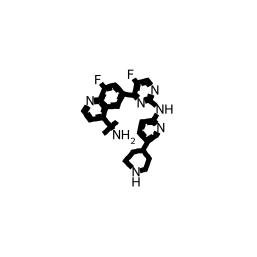 CC(C)(N)c1ccnc2c(F)cc(-c3nc(Nc4ccc(C5CCNCC5)cn4)ncc3F)cc12